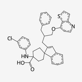 O=C(O)C1(Nc2cccc(Cl)c2)CCC2(CC1)C(CC(COc1ccnc3ccsc13)Cc1ccccc1)=Cc1ccccc12